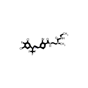 CCNC(=O)N(C)CCNC(=O)c1ccc(/C=C/C(c2cc(Cl)c(F)c(Cl)c2)C(F)(F)F)cc1Br